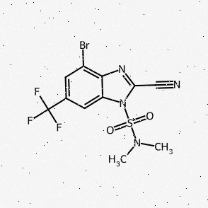 CN(C)S(=O)(=O)n1c(C#N)nc2c(Br)cc(C(F)(F)F)cc21